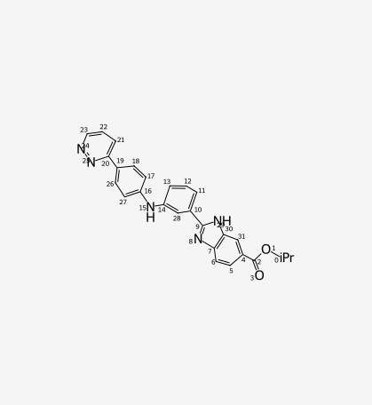 CC(C)OC(=O)c1ccc2nc(-c3cccc(Nc4ccc(-c5cccnn5)cc4)c3)[nH]c2c1